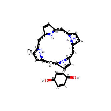 C1=Cc2cc3ccc(cc4nc(cc5ccc(cc1n2)[nH]5)C=C4)[nH]3.O=C1C=CC(=O)C=C1.[Fe]